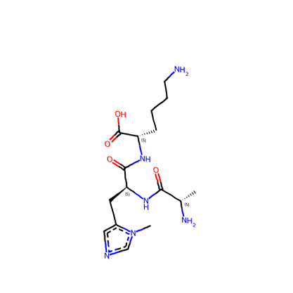 C[C@H](N)C(=O)N[C@@H](Cc1cncn1C)C(=O)N[C@@H](CCCCN)C(=O)O